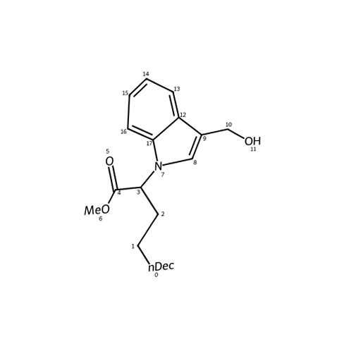 CCCCCCCCCCCCC(C(=O)OC)n1cc(CO)c2ccccc21